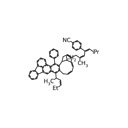 C=C1/C2=C\C=C/Cc3c(c(-c4ccccc4)c4c(cc5c6c(cccc64)-c4ccccc4-5)c3C(C)/C=C\CC)C1CC=C2C/C(C)=C\C(=C/C(C)C)c1ccc(C#N)cc1